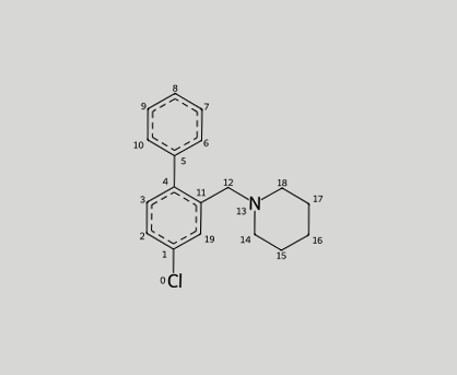 Clc1ccc(-c2ccccc2)c(CN2CCCCC2)c1